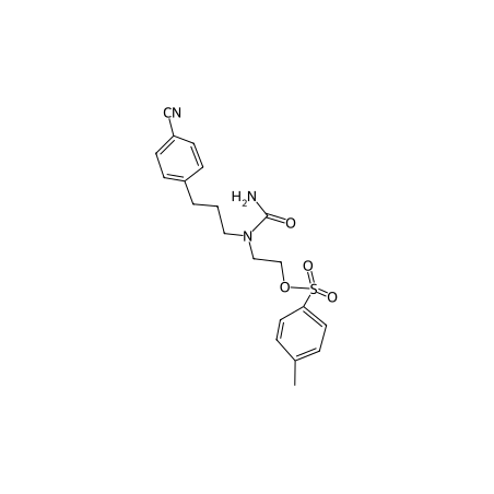 Cc1ccc(S(=O)(=O)OCCN(CCCc2ccc(C#N)cc2)C(N)=O)cc1